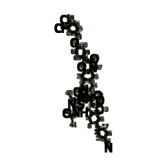 COC(=O)[C@H](Cc1ccc(-c2ccc(C#N)cc2)cc1)NC(=O)C1Cc2cc3c(cc2CN1S(=O)(=O)c1sc(NC(C)=O)nc1C)OC(c1ccc(OCc2ccc(Cl)c(Cl)c2)cc1)C(=O)N3C